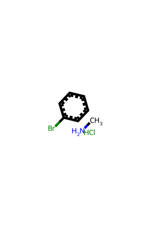 Brc1ccccc1.CN.Cl